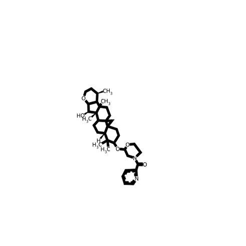 C[C@@H]1CCOC2C1C1(C)CCC34CC35CCC(OC3CN(C(=O)c6ccccn6)CCO3)C(C)(C)[C@@H]5CCC4[C@]1(C)[C@H]2O